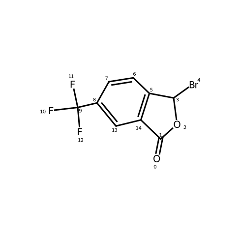 O=C1OC(Br)c2ccc(C(F)(F)F)cc21